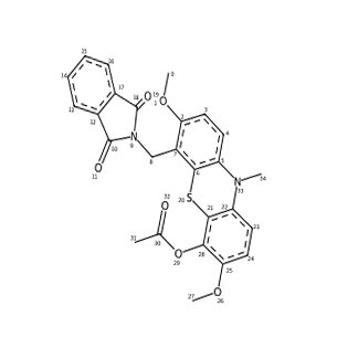 COc1ccc2c(c1CN1C(=O)c3ccccc3C1=O)Sc1c(ccc(OC)c1OC(C)=O)N2C